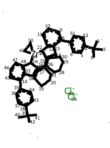 CC(C)(C)c1ccc(-c2cccc3c2C=C(C2CCCCC2)[CH]3[Zr+2]2([CH]3C(C4CCCCC4)=Cc4c(-c5ccc(C(C)(C)C)cc5)cccc43)[CH2][CH2]2)cc1.[Cl-].[Cl-]